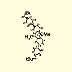 COc1ccc(-c2ccc(CC(C)(C)C)cc2)cc1C(C)c1cccc(-c2ccc(CC(C)(C)C)cc2)c1